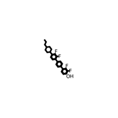 CCCC1CCC(c2ccc(-c3ccc(-c4ccc(O)c(F)c4F)cc3)c(F)c2F)CC1